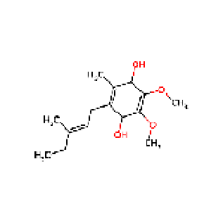 CC/C(C)=C/CC1=C(C)C(O)C(OC)=C(OC)C1O